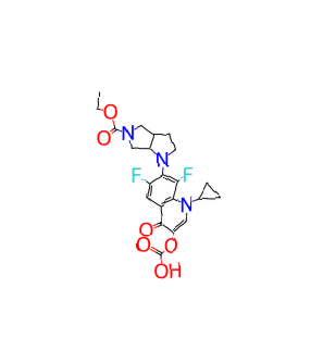 CCOC(=O)N1CC2CCN(c3c(F)cc4c(=O)c(OC(=O)O)cn(C5CC5)c4c3F)C2C1